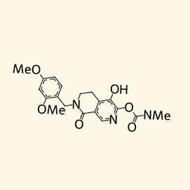 CNC(=O)Oc1ncc2c(c1O)CCN(Cc1ccc(OC)cc1OC)C2=O